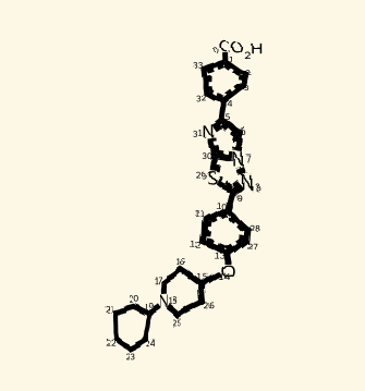 O=C(O)c1ccc(-c2cn3nc(-c4ccc(OC5CCN(C6CCCCC6)CC5)cc4)sc3n2)cc1